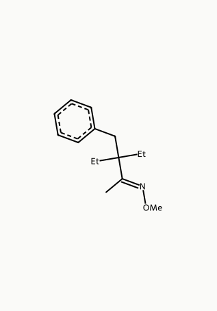 CCC(CC)(Cc1ccccc1)/C(C)=N/OC